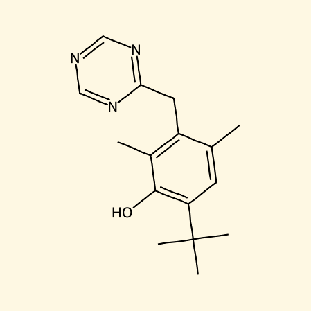 Cc1cc(C(C)(C)C)c(O)c(C)c1Cc1ncncn1